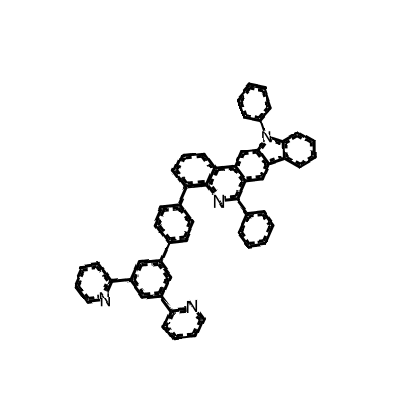 c1ccc(-c2nc3c(-c4ccc(-c5cc(-c6ccccn6)cc(-c6ccccn6)c5)cc4)cccc3c3cc4c(cc23)c2ccccc2n4-c2ccccc2)cc1